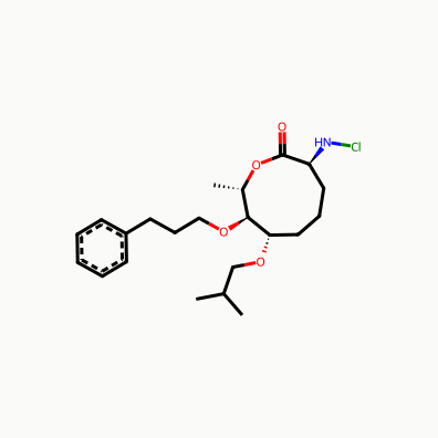 CC(C)CO[C@H]1CCC[C@H](NCl)C(=O)O[C@@H](C)[C@@H]1OCCCc1ccccc1